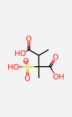 CC(C(=O)O)C(C)(C(=O)O)S(=O)(=O)O